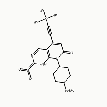 CC(=O)NC1CCC(n2c(=O)cc(C#C[Si](C(C)C)(C(C)C)C(C)C)c3cnc(=S(=O)=O)[nH]c32)CC1